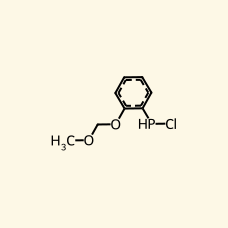 COCOc1ccccc1PCl